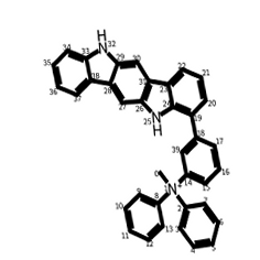 C[N+](c1ccccc1)(c1ccccc1)c1cccc(-c2cccc3c2[nH]c2cc4c(cc23)[nH]c2ccccc24)c1